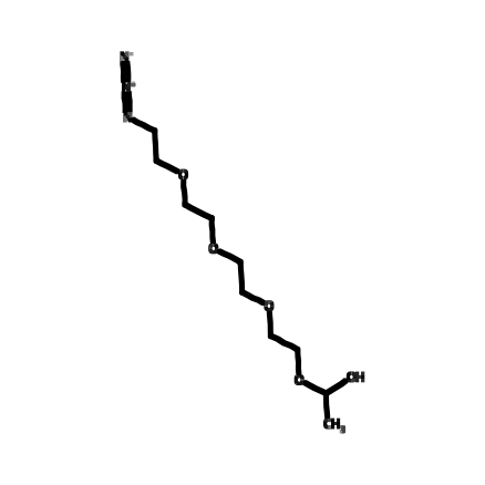 CC(O)OCCOCCOCCOCCN=[N+]=[N-]